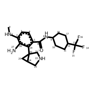 CNc1ccc(C(=O)NC2CCC(C(F)(F)F)CC2)c(C23CNCC2C3)c1N